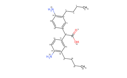 CCCCc1cc(C(C(=O)O)c2ccc(N)c(CCCC)c2)ccc1N